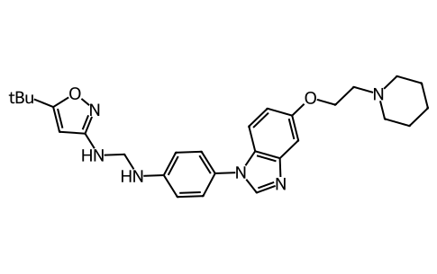 CC(C)(C)c1cc(NCNc2ccc(-n3cnc4cc(OCCN5CCCCC5)ccc43)cc2)no1